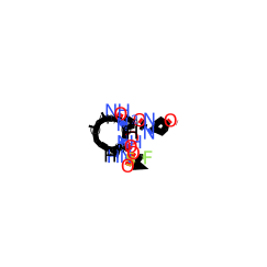 COc1ccc2ncc(O[C@@H]3C[C@H]4C(=O)N[C@]5(C(=O)NS(=O)(=O)C6(CF)CC6)C[C@H]5C=CCC[C@@H](C)C[C@@H](C)[C@H](N)C(=O)N4C3)nc2c1